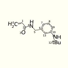 C=CC(=O)NCc1cccc(NC(C)(C)C)c1